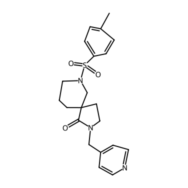 Cc1ccc(S(=O)(=O)N2CCCC3(CCN(Cc4ccncc4)C3=O)C2)cc1